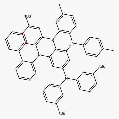 Cc1ccc(N2c3ccc(C)cc3B3c4cc(C(C)(C)C)ccc4N(c4ccccc4-c4ccccc4)c4cc(N(c5cccc(C(C)(C)C)c5)c5cccc(C(C)(C)C)c5)cc2c43)cc1